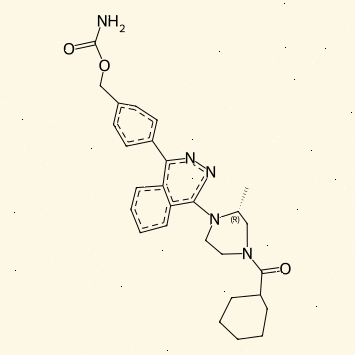 C[C@@H]1CN(C(=O)C2CCCCC2)CCN1c1nnc(-c2ccc(COC(N)=O)cc2)c2ccccc12